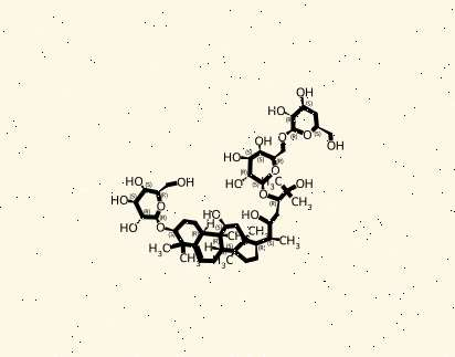 C[C@H](C(O)C[C@@H](O[C@@H]1O[C@H](CO[C@@H]2O[C@H](CO)C[C@H](O)[C@H]2O)[C@@H](O)[C@H](O)[C@H]1O)C(C)(C)O)[C@H]1CC[C@@]2(C)[C@@H]3CC=C4[C@@H](CC[C@H](O[C@@H]5O[C@H](CO)[C@@H](O)[C@H](O)[C@H]5O)C4(C)C)[C@]3(C)[C@@H](O)C[C@]12C